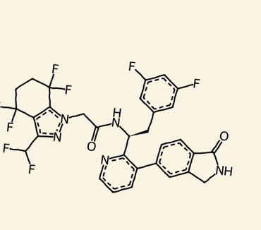 O=C(Cn1nc(C(F)F)c2c1C(F)(F)CCC2(F)F)N[C@@H](Cc1cc(F)cc(F)c1)c1ncccc1-c1ccc2c(c1)CNC2=O